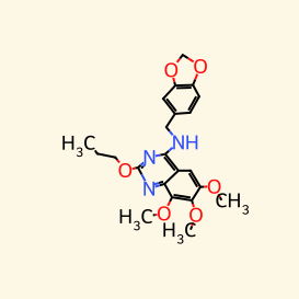 CCCOc1nc(NCc2ccc3c(c2)OCO3)c2cc(OC)c(OC)c(OC)c2n1